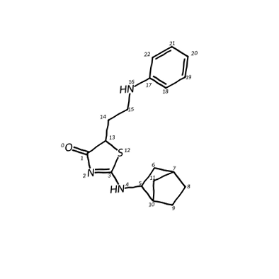 O=C1N=C(NC2CC3CCC2C3)SC1CCNc1ccccc1